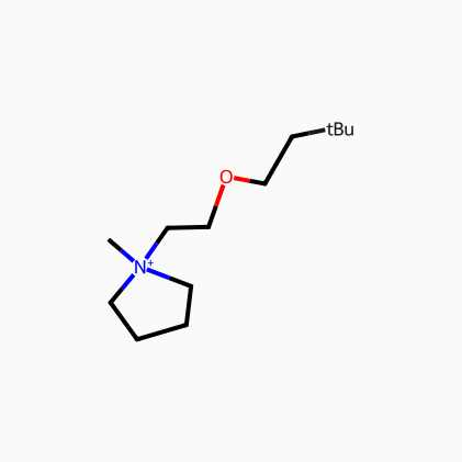 CC(C)(C)CCOCC[N+]1(C)CCCC1